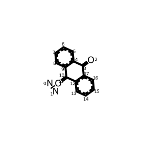 N#N.O=C1c2ccccc2C(=O)c2ccccc21